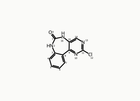 O=C1Nc2ccccc2-c2nc(Cl)ncc2N1